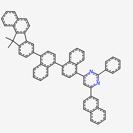 CC1(C)c2ccc(-c3ccc(-c4ccc(-c5cc(-c6ccc7ccccc7c6)nc(-c6ccccc6)n5)c5ccccc45)c4ccccc34)cc2-c2ccc3ccccc3c21